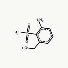 CS(=O)(=O)c1c(N)cccc1CO